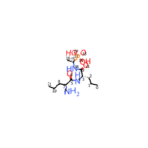 CCC[C@H](NC(=O)[C@@H](N)CCC)C(=O)N[C@@H](C)P(=O)(O)O